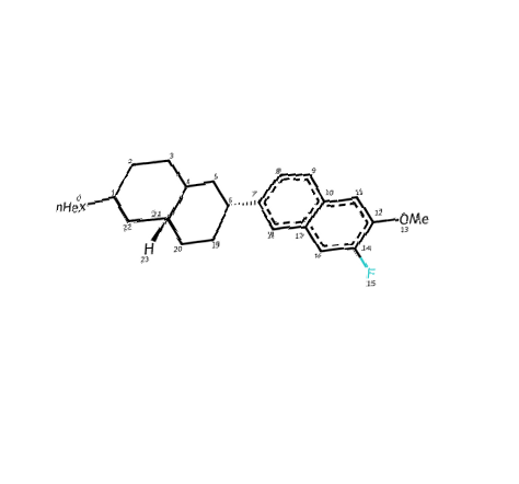 CCCCCCC1CCC2C[C@H](c3ccc4cc(OC)c(F)cc4c3)CC[C@@H]2C1